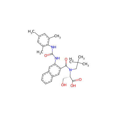 Cc1cc(C)c(NC(=O)Nc2cc3ccccc3cc2C(=O)N(CC(C)(C)C)[C@@H](CO)C(=O)O)c(C)c1